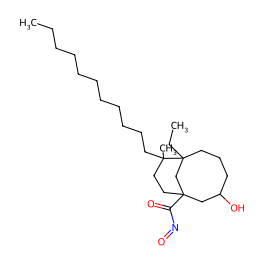 CCCCCCCCCCCC1(C)CCC2(C(=O)N=O)CC(O)CCCC1(CC)C2